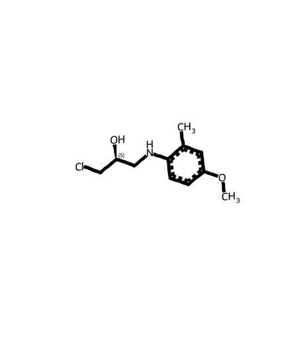 COc1ccc(NC[C@H](O)CCl)c(C)c1